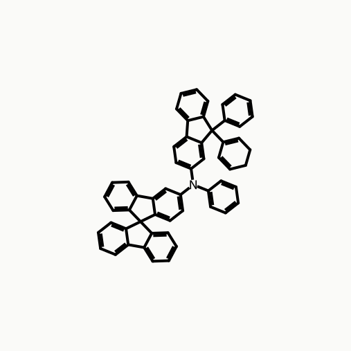 C1=CC(C2(c3ccccc3)c3ccccc3-c3ccc(N(c4ccccc4)c4ccc5c(c4)-c4ccccc4C54c5ccccc5-c5ccccc54)cc32)=CCC1